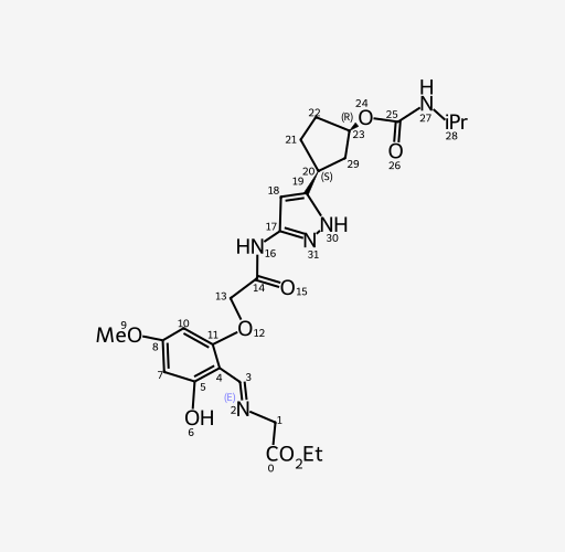 CCOC(=O)C/N=C/c1c(O)cc(OC)cc1OCC(=O)Nc1cc([C@H]2CC[C@@H](OC(=O)NC(C)C)C2)[nH]n1